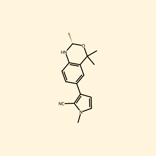 C[C@H]1Nc2ccc(-c3ccn(C)c3C#N)cc2C(C)(C)O1